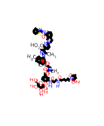 Cc1c(-c2ccc(N3CCc4cccc(C(=O)Nc5nc6ccccc6s5)c4C3)nc2C(=O)O)cnn1CC12CC3(C)CC(C)(C1)CC(OCCN(C)C(=O)OCc1ccc(O[C@@H]4O[C@H](CO)[C@H](O)[C@H](O)[C@H]4O)c(NC(=O)CCNC(=O)CCCCCN4C(=O)C=CC4O)c1)(C3)C2